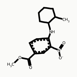 COC(=O)c1ccc(NC2CCCCC2C)c([N+](=O)[O-])c1